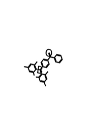 Cc1cc(C)c(B(c2ccc(C(=O)c3ccccc3)cc2)c2c(C)cc(C)cc2C)c(C)c1